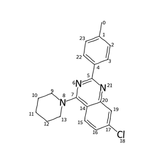 Cc1ccc(-c2nc(N3CCCCC3)c3ccc(Cl)cc3n2)cc1